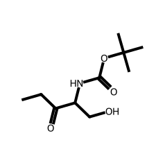 CCC(=O)C(CO)NC(=O)OC(C)(C)C